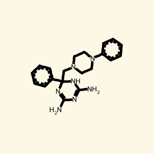 NC1=NC(CN2CCN(c3ccccc3)CC2)(c2ccccc2)NC(N)=N1